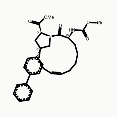 COC(=O)[C@@H]1C[C@@]2(c3ccc(-c4ccccc4)cc3)CN1C(=O)[C@@H](NC(=O)OC(C)(C)C)CCCCC=CCS2